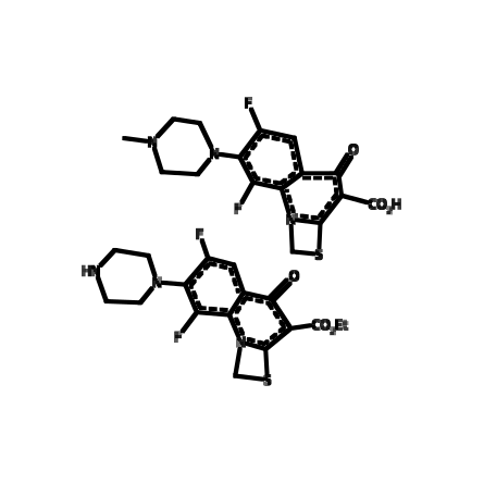 CCOC(=O)c1c2n(c3c(F)c(N4CCNCC4)c(F)cc3c1=O)CS2.CN1CCN(c2c(F)cc3c(=O)c(C(=O)O)c4n(c3c2F)CS4)CC1